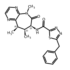 C[C@@H]1[C@H](NC(=O)c2nnc(Cc3ccccc3)s2)C(=O)N(C)c2nccnc2[C@@H]1C